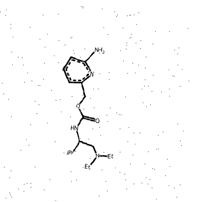 CCN(CC)CC(NC(=O)OCc1cccc(N)n1)C(C)C